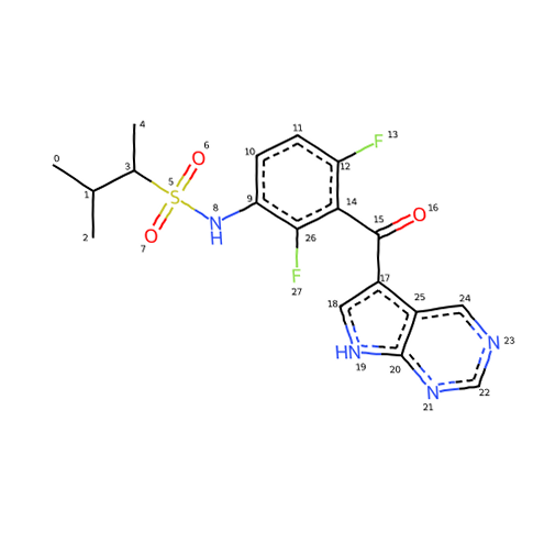 CC(C)C(C)S(=O)(=O)Nc1ccc(F)c(C(=O)c2c[nH]c3ncncc23)c1F